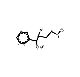 CCNCCC(O)C(C(=O)O)c1ccccc1